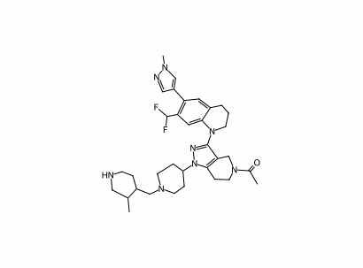 CC(=O)N1CCc2c(c(N3CCCc4cc(-c5cnn(C)c5)c(C(F)F)cc43)nn2C2CCN(CC3CCNCC3C)CC2)C1